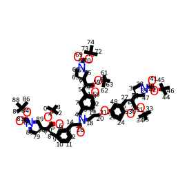 CC(C)(C)OC(=O)[C@@H](Cc1cccc(CC(=O)N(CCCOc2cccc(C[C@H](C(=O)OC(C)(C)C)[C@H]3CCN(C(=O)OC(C)(C)C)C3)c2)Cc2cccc(C[C@H](C(=O)OC(C)(C)C)[C@H]3CCN(C(=O)OC(C)(C)C)C3)c2)c1)[C@H]1CCN(C(=O)OC(C)(C)C)C1